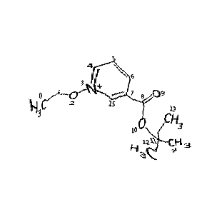 CCO[n+]1cccc(C(=O)OC(C)(C)C)c1